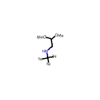 [2H]C([2H])([2H])NCC(OC)OC